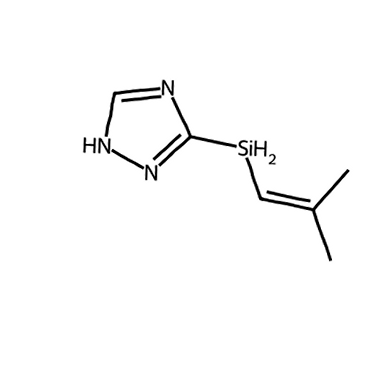 CC(C)=C[SiH2]c1nc[nH]n1